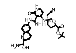 CC(C)(C)OC(=O)C1CC[C@@](CC#N)(Nc2cc[nH]c(=O)c2C(=N)Nc2ccc3nc(C(N)O)ccc3c2)CO1